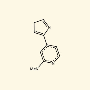 CNc1cc(C2=CCC=N2)ccn1